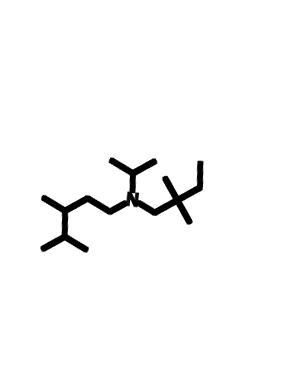 CCC(C)(C)CN(CCC(C)C(C)C)C(C)C